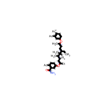 C=C/C(=C\C=C(/C)Oc1ccc(C(C)=O)c(C(C)=O)c1)C(C)(C)/C(C)=C/C=C(\CC)Oc1ccc(C(C)=O)c(C(N)=O)c1